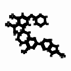 Cc1cc(-c2cnc3sc(N)nc3c2)cc2c1OCCN(c1nc(CN3CCOCC3)nc(C)c1C(C)C)C2